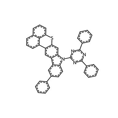 c1ccc(-c2ccc3c(c2)c2cc4c(cc2n3-c2nc(-c3ccccc3)nc(-c3ccccc3)n2)Sc2cccc3cccc-4c23)cc1